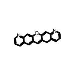 C1=C2Cc3cccnc3C=C2Oc2cc3ncccc3cc21